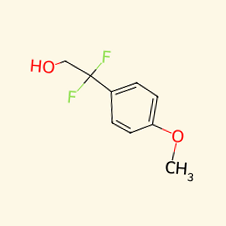 COc1ccc(C(F)(F)CO)cc1